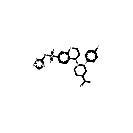 O=S(=O)(Nc1ncns1)c1ccc2c(c1)OCC[C@H]2N1CCC(C(F)F)C[C@H]1c1ccc(F)cc1